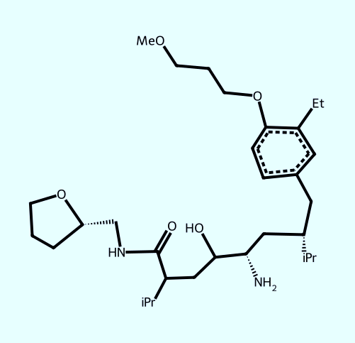 CCc1cc(C[C@@H](C[C@H](N)C(O)CC(C(=O)NC[C@@H]2CCCO2)C(C)C)C(C)C)ccc1OCCCOC